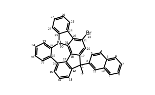 CC1(c2ccc3ccccc3c2)c2cccc3c2-c2c1cc(Br)c1c4ccccc4n(c21)-c1ccccc1-3